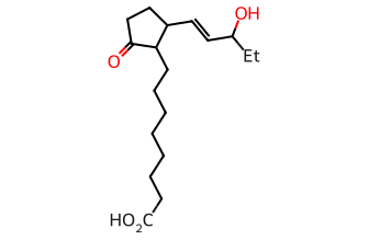 CCC(O)C=CC1CCC(=O)C1CCCCCCCC(=O)O